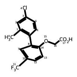 Cc1cc(Cl)ccc1-c1cc(C(F)(F)F)ccc1OCC(=O)O